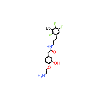 CCc1c(F)c(F)cc(CCCNC(=O)Cc2ccc(OCCN)c(O)c2)c1F